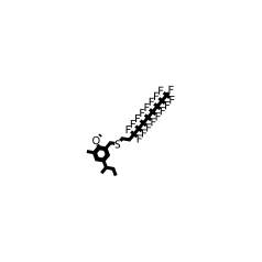 CCC(C)c1cc(C)c(OC)c(CSCCC(F)(F)C(F)(F)C(F)(F)C(F)(F)C(F)(F)C(F)(F)C(F)(F)C(F)(F)F)c1